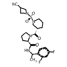 CC(NC(=O)[C@H]1CCCN1C(=O)[C@H]1CCCN(S(=O)(=O)N2CC(C#N)C2)C1)c1ccc(F)cc1F